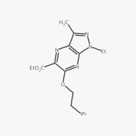 CCOC(=O)c1nc2c(C)nn(CC)c2nc1OCCC(C)C